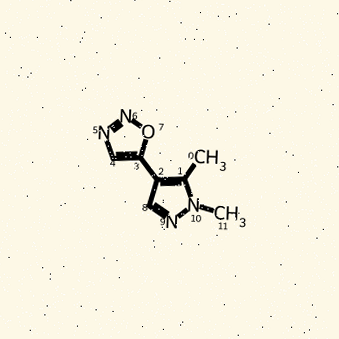 Cc1c(-c2cnno2)cnn1C